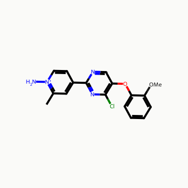 COc1ccccc1Oc1[c]nc(-c2cc[n+](N)c(C)c2)nc1Cl